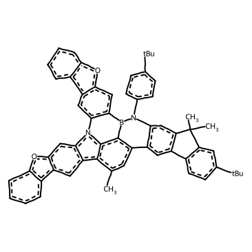 Cc1cc2c3c4c1c1cc5c(cc1n4-c1cc4c(cc1B3N(c1ccc(C(C)(C)C)cc1)c1cc3c(cc1-2)-c1ccc(C(C)(C)C)cc1C3(C)C)oc1ccccc14)oc1ccccc15